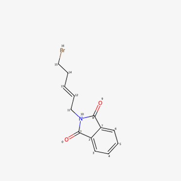 O=C1c2ccccc2C(=O)N1CC=CCCBr